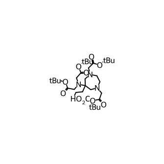 CC(C)(C)OC(=O)CN1CCN(CC(=O)OC(C)(C)C)CC(CCC(=O)O)(N(CC(=O)OC(C)(C)C)CC(=O)OC(C)(C)C)C1